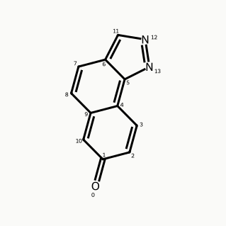 O=C1C=Cc2c3c(ccc2=C1)=CN=N3